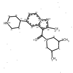 CC1CC(C)CN(C(=O)c2c(C(F)(F)F)nn3ccc(C4CCNCC4)cc23)C1